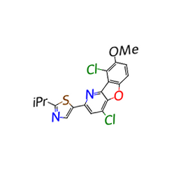 COc1ccc2oc3c(Cl)cc(-c4cnc(C(C)C)s4)nc3c2c1Cl